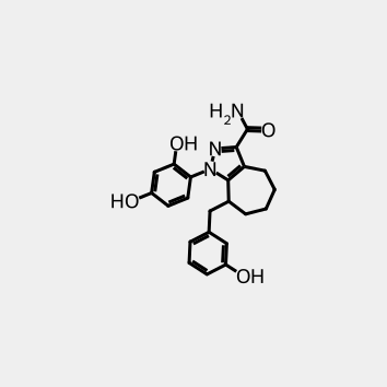 NC(=O)c1nn(-c2ccc(O)cc2O)c2c1CCCCC2Cc1cccc(O)c1